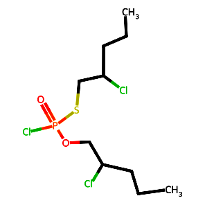 CCCC(Cl)COP(=O)(Cl)SCC(Cl)CCC